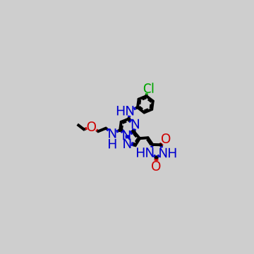 CCOCCNc1cc(Nc2cccc(Cl)c2)nc2c(/C=C3\NC(=O)NC3=O)cnn12